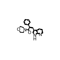 O=C(C(=Cc1c[nH]c2ncccc12)c1ccccc1)N1CCOCC1